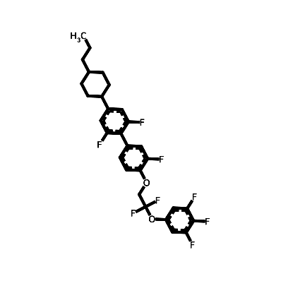 CCCC1CCC(c2cc(F)c(-c3ccc(OCC(F)(F)Oc4cc(F)c(F)c(F)c4)c(F)c3)c(F)c2)CC1